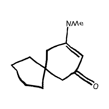 CNC1=CC(=O)CC2(CCCC2)C1